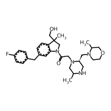 CC1CN(CC(=O)N2CC(C)(CO)c3ccc(Cc4ccc(F)cc4)cc32)[C@@H](CN2CCOCC2C)CN1